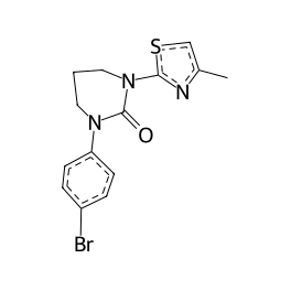 Cc1csc(N2CCCN(c3ccc(Br)cc3)C2=O)n1